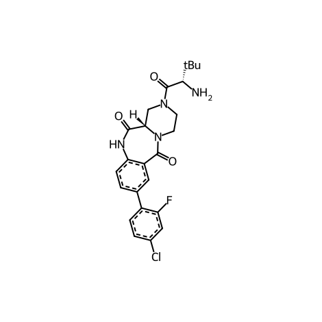 CC(C)(C)[C@H](N)C(=O)N1CCN2C(=O)c3cc(-c4ccc(Cl)cc4F)ccc3NC(=O)[C@@H]2C1